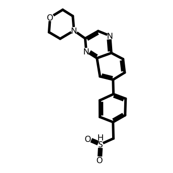 O=[SH](=O)Cc1ccc(-c2ccc3ncc(N4CCOCC4)nc3c2)cc1